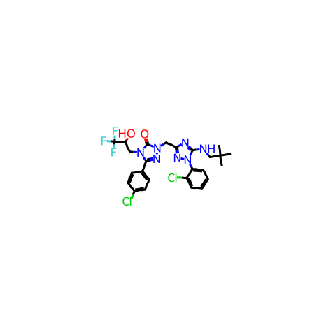 CC(C)(C)CNc1nc(Cn2nc(-c3ccc(Cl)cc3)n(CC(O)C(F)(F)F)c2=O)nn1-c1ccccc1Cl